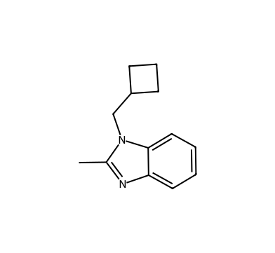 Cc1nc2ccccc2n1CC1CCC1